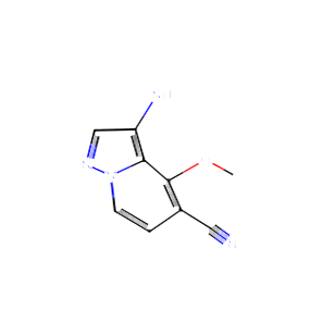 COc1c(C#N)ccn2ncc(N)c12